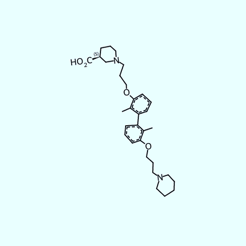 Cc1c(OCCCN2CCCCC2)cccc1-c1cccc(OCCCN2CCC[C@H](C(=O)O)C2)c1C